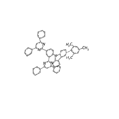 Cc1cc(C)c(-c2ccc3c(c2)c2ccccc2n3-c2ccc(-c3nc(-c4ccccc4)cc(-c4ccccc4)n3)cc2-c2nc(-c3ccccc3)cc(-c3ccccc3)n2)c(C)c1